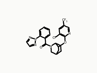 O=C(c1ccccc1-n1nccn1)N1CC2CCC1C(Oc1ncc(C(F)(F)F)cc1Cl)C2